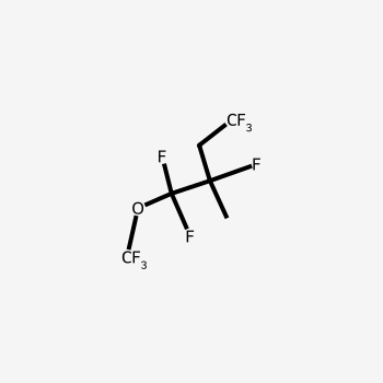 CC(F)(CC(F)(F)F)C(F)(F)OC(F)(F)F